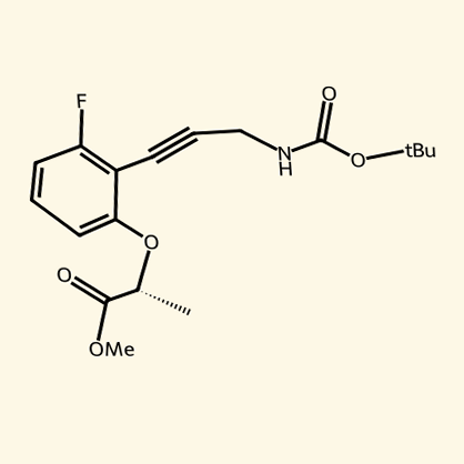 COC(=O)[C@@H](C)Oc1cccc(F)c1C#CCNC(=O)OC(C)(C)C